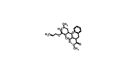 C=CCOC(=O)N(C)C(CC(C)C)C(=O)N(C)C(Cc1ccccc1)C(=O)OC